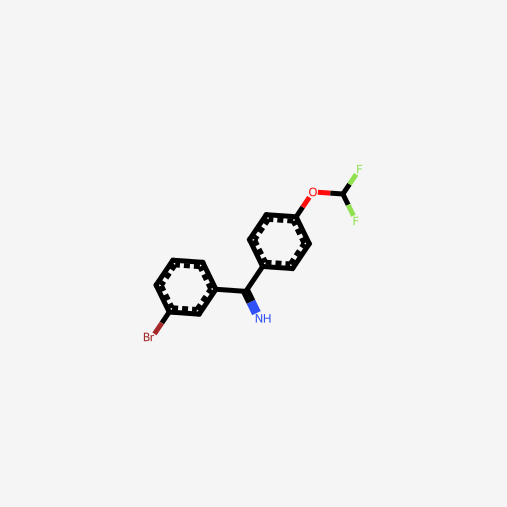 N=C(c1ccc(OC(F)F)cc1)c1cccc(Br)c1